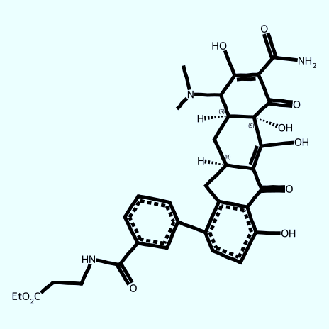 CCOC(=O)CCNC(=O)c1cccc(-c2ccc(O)c3c2C[C@H]2C[C@H]4C(N(C)C)C(O)=C(C(N)=O)C(=O)[C@@]4(O)C(O)=C2C3=O)c1